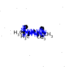 [C-]#[N+]c1c(C)nn(-c2ccccn2)c1N=Nc1c(C)nn(-c2ccnc(-n3nc(C)c(N=Nc4c(C#N)c(C)nn4-c4ccccn4)c3N)n2)c1N